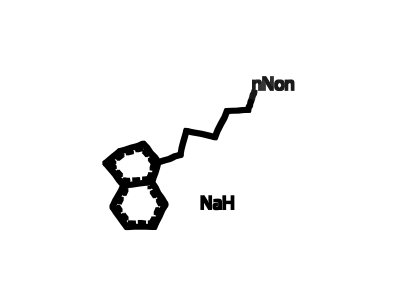 CCCCCCCCCCCCCCc1cccc2ccccc12.[NaH]